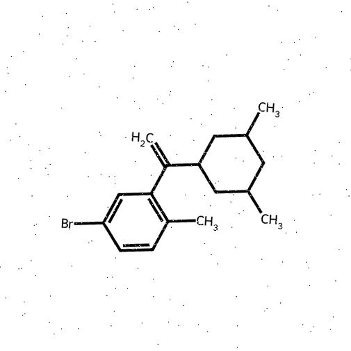 C=C(c1cc(Br)ccc1C)C1CC(C)CC(C)C1